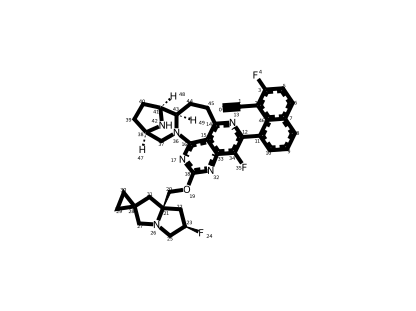 C#Cc1c(F)ccc2cccc(-c3nc4c5c(nc(OC[C@@]67C[C@@H](F)CN6CC6(CC6)C7)nc5c3F)N3C[C@H]5CC[C@H](N5)[C@H]3CC4)c12